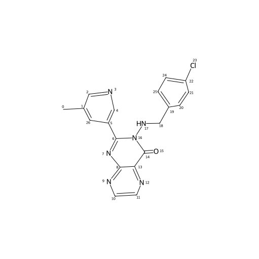 Cc1cncc(-c2nc3nccnc3c(=O)n2NCc2ccc(Cl)cc2)c1